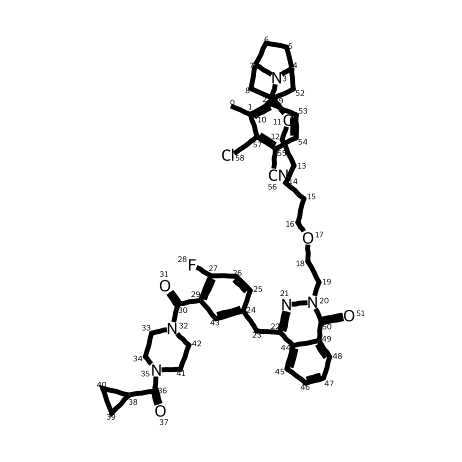 Cc1c(N2C3CCC2CC(C)(OCCCCCOCCn2nc(Cc4ccc(F)c(C(=O)N5CCN(C(=O)C6CC6)CC5)c4)c4ccccc4c2=O)C3)ccc(C#N)c1Cl